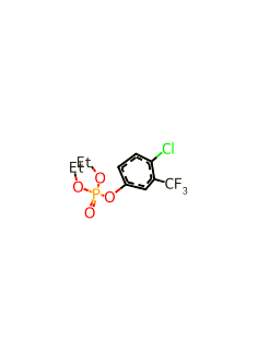 CCOP(=O)(OCC)Oc1ccc(Cl)c(C(F)(F)F)c1